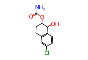 NC(=O)O[C@@H]1CCc2cc(Cl)ccc2[C@@H]1O